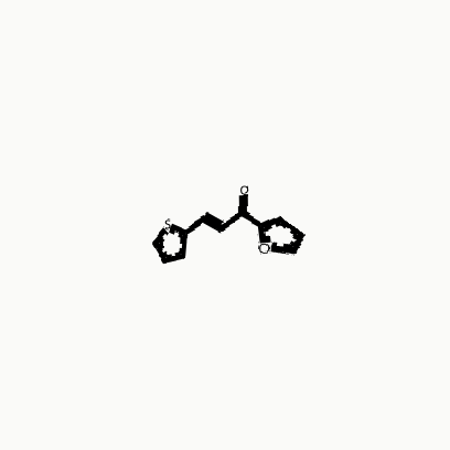 O=C(/C=C/c1cccs1)c1ccco1